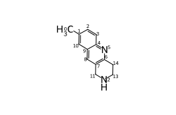 Cc1ccc2nc3c(cc2c1)CNCC3